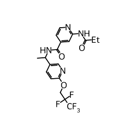 CCC(=O)Nc1cc(C(=O)NC(C)c2ccc(OCC(F)(F)C(F)(F)F)nc2)ccn1